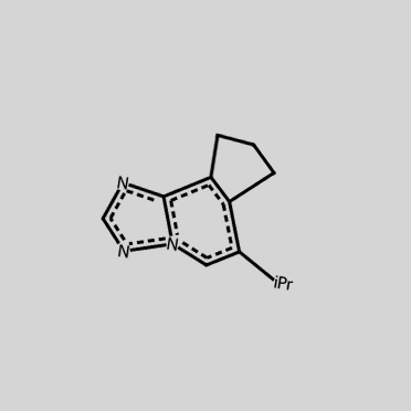 CC(C)c1cn2ncnc2c2c1CCC2